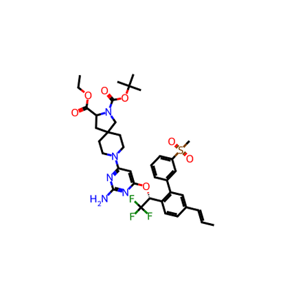 CC=Cc1ccc([C@@H](Oc2cc(N3CCC4(CC3)CC(C(=O)OCC)N(C(=O)OC(C)(C)C)C4)nc(N)n2)C(F)(F)F)c(-c2cccc(S(C)(=O)=O)c2)c1